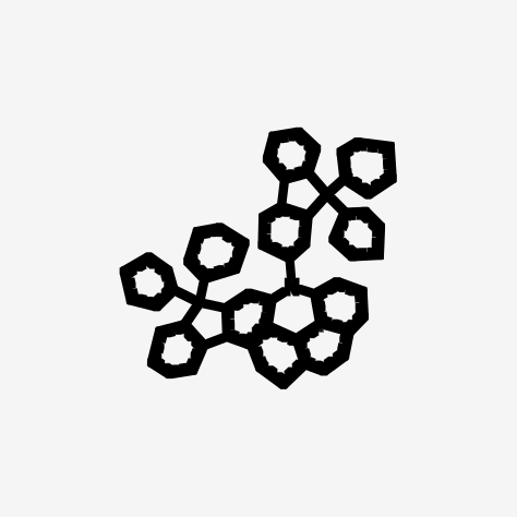 c1ccc(C2(c3ccccc3)c3ccccc3-c3ccc(N(c4ccc5c(c4)C(c4ccccc4)(c4ccccc4)c4ccccc4-5)c4cccc5ccc6ccccc6c45)cc32)cc1